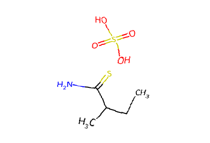 CCC(C)C(N)=S.O=S(=O)(O)O